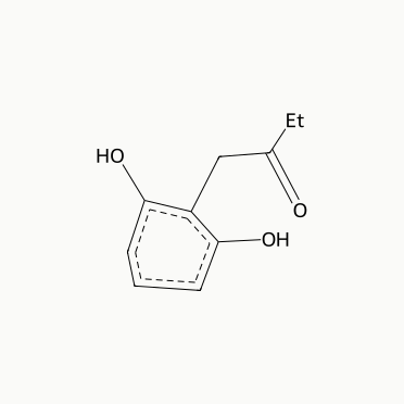 CCC(=O)Cc1c(O)cccc1O